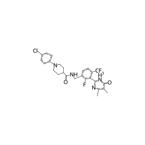 Cc1nc(-c2c(C(F)(F)F)ccc(CNC(=O)C3CCN(c4ccc(Cl)cc4)CC3)c2F)[nH]c(=O)c1C